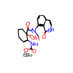 CN(C(=O)C1(O)CCCCC1NC(=O)OC(C)(C)C)c1cccc2cc[nH]c(=O)c12